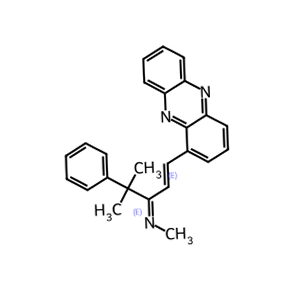 C/N=C(\C=C\c1cccc2nc3ccccc3nc12)C(C)(C)c1ccccc1